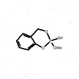 CO[P]1(S)OCc2ccccc2O1